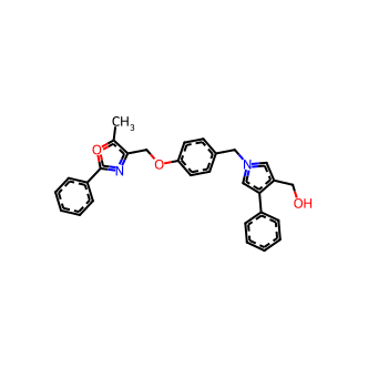 Cc1oc(-c2ccccc2)nc1COc1ccc(Cn2cc(CO)c(-c3ccccc3)c2)cc1